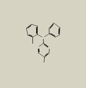 CC(=O)c1cnc(N(c2ccccc2)c2ccccc2Cl)nc1